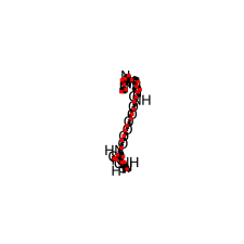 CC(=O)Nc1cc(NCCOCCOCCOCCOCCOCCOCCNC(=O)CN2CCN(c3cccc(-c4cnc5ccc(N6CCCC6)nn45)n3)CC2)ccc1C(=O)Nc1nc(C)c(C)s1